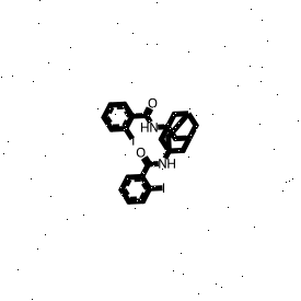 O=C(NC12CC3CC(C1)CC(NC(=O)c1ccccc1I)(C3)C2)c1ccccc1I